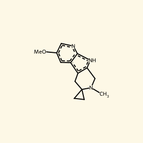 COc1cnc2[nH]c3c(c2c1)CC1(CC1)N(C)C3